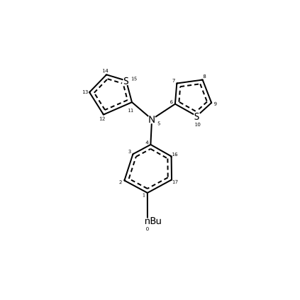 CCCCc1ccc(N(c2cccs2)c2cccs2)cc1